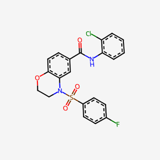 O=C(Nc1ccccc1Cl)c1ccc2c(c1)N(S(=O)(=O)c1ccc(F)cc1)CCO2